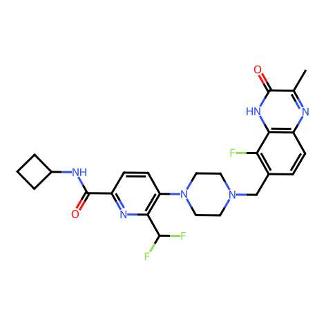 Cc1nc2ccc(CN3CCN(c4ccc(C(=O)NC5CCC5)nc4C(F)F)CC3)c(F)c2[nH]c1=O